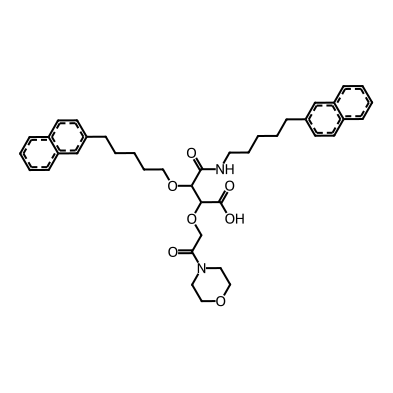 O=C(O)C(OCC(=O)N1CCOCC1)C(OCCCCCc1ccc2ccccc2c1)C(=O)NCCCCCc1ccc2ccccc2c1